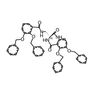 NC(=O)[C@@H](CNC(=O)c1cccc(OCc2ccccc2)c1OCc1ccccc1)NC(=O)c1cccc(OCc2ccccc2)c1OCc1ccccc1